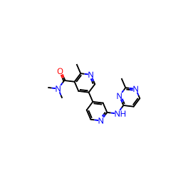 Cc1nccc(Nc2cc(-c3cnc(C)c(C(=O)N(C)C)c3)ccn2)n1